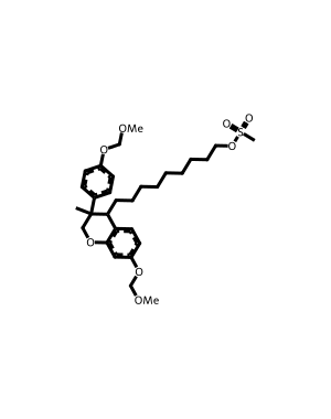 COCOc1ccc(C2(C)COc3cc(OCOC)ccc3C2CCCCCCCCCOS(C)(=O)=O)cc1